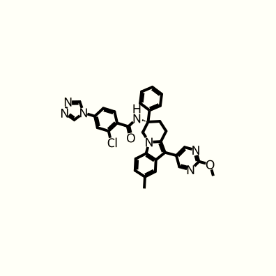 COc1ncc(-c2c3n(c4ccc(C)cc24)C[C@@](NC(=O)c2ccc(-n4cnnc4)cc2Cl)(c2ccccc2)CC3)cn1